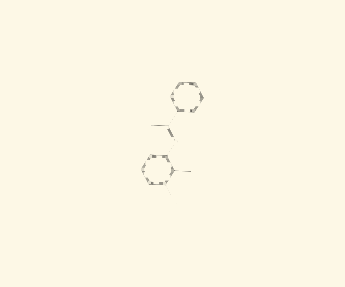 Cc1c(Cl)cccc1N=C(Cl)c1ccccc1